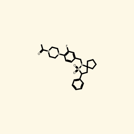 CC(=O)N1CCN(c2ccc(CN3C4(CCCC4)CC(c4ccccc4)S3(=O)=O)cc2F)CC1